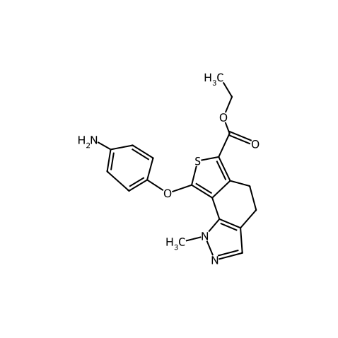 CCOC(=O)c1sc(Oc2ccc(N)cc2)c2c1CCc1cnn(C)c1-2